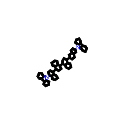 c1ccc2c(-c3ccc(-c4ccc(-n5c6ccccc6c6ccccc65)c5ccccc45)c4ccccc34)ccc(-c3ccc4cc(-n5c6ccccc6c6ccccc65)ccc4c3)c2c1